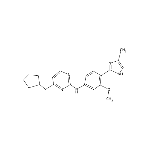 COc1cc(Nc2nccc(CC3CCCC3)n2)ccc1-c1nc(C)c[nH]1